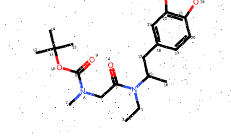 CCN(C(=O)CN(C)C(=O)OC(C)(C)C)C(C)Cc1ccc2c(c1)OCO2